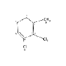 CC1=C(Cl)C(Cl)=CC[CH]1